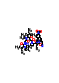 CCC(C)C(C(CC(=O)N1CCCC1C(OC)C(C)C(=O)NC(CC#N)Cc1cccc([N+](=O)[O-])c1)OC)N(C)C(=O)CNC(=O)C(C(C)C)N(C)C